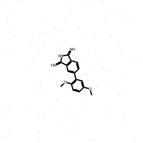 COc1ccc(OC)c(-c2ccc3c(c2)C(=N)NC3=N)c1